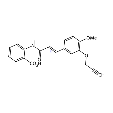 C#CCOc1cc(/C=C/C(=O)Nc2ccccc2C(=O)O)ccc1OC